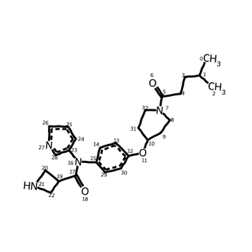 CC(C)CCC(=O)N1CCC(Oc2ccc(N(C(=O)C3CNC3)c3cccnc3)cc2)CC1